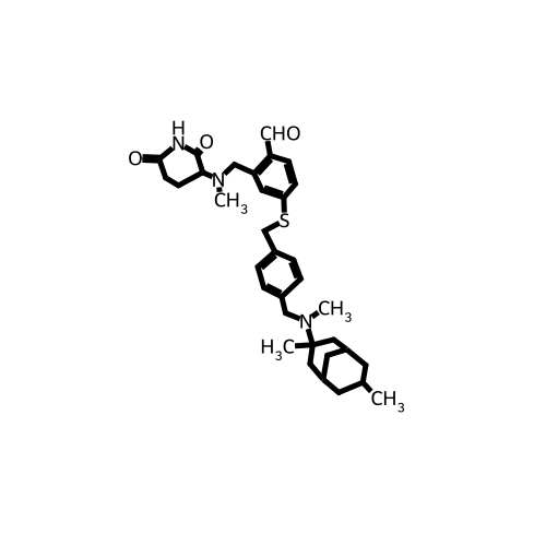 CC1CC2CC(C1)CC(C)(N(C)Cc1ccc(CSc3ccc(C=O)c(CN(C)C4CCC(=O)NC4=O)c3)cc1)C2